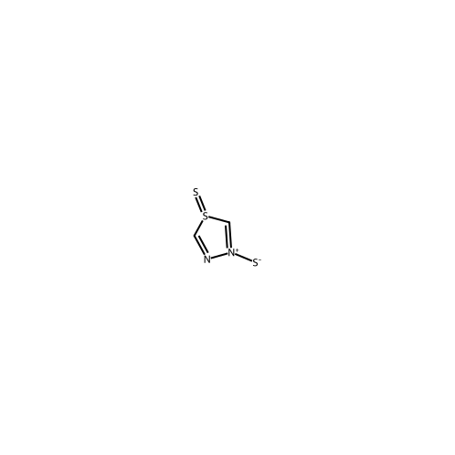 S=S1C=N[N+]([S-])=C1